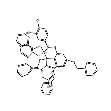 COc1cc(OC)c(C2(OCc3ccccc3)c3c(OCc4ccccc4)cc(OCc4ccccc4)cc3O[C@H](c3ccc(O)c(O)c3)[C@]2(Cc2ccccc2)OCc2ccccc2)c(OC)c1